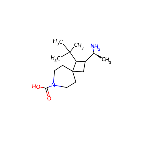 C[C@H](N)C1CC2(CCN(C(=O)O)CC2)C1C(C)(C)C